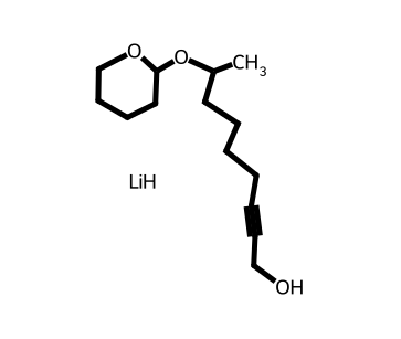 CC(CCCCC#CCO)OC1CCCCO1.[LiH]